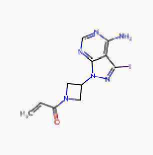 C=CC(=O)N1CC(n2nc(I)c3c(N)ncnc32)C1